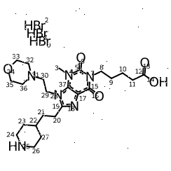 Br.Br.Br.Cn1c(=O)n(CCCCC(=O)O)c(=O)c2nc(CCC3CCNCC3)n(CCN3CCOCC3)c21